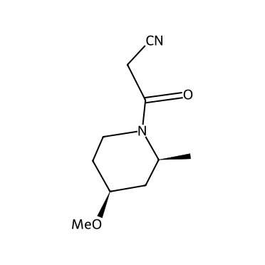 CO[C@H]1CCN(C(=O)CC#N)[C@@H](C)C1